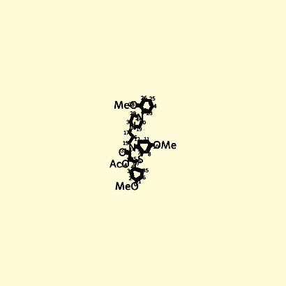 COc1ccc([C@@H]2Sc3cc(OC)ccc3N(CCCN3CCN(c4ccccc4OC)CC3)C(=O)[C@@H]2OC(C)=O)cc1